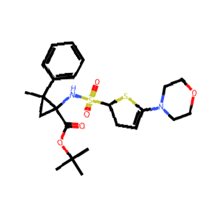 CC(C)(C)OC(=O)C1(NS(=O)(=O)C2CC=C(N3CCOCC3)S2)CC1(C)c1ccccc1